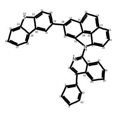 c1ccc(-c2cnc(-n3c4cccc5ccc6cc(-c7ccc8sc9ccccc9c8c7)cc3c6c54)c3ccccc23)cc1